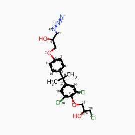 CC(C)(c1ccc(OCC(O)CN=[N+]=[N-])cc1)c1cc(Cl)c(OCC(O)CCl)c(Cl)c1